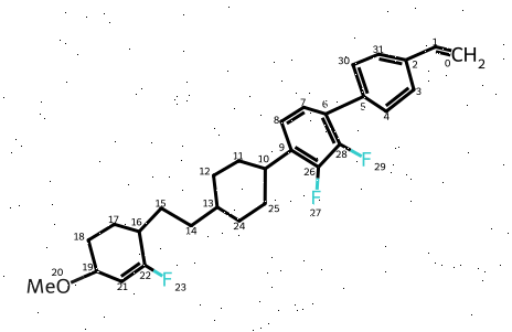 C=Cc1ccc(-c2ccc(C3CCC(CCC4CCC(OC)C=C4F)CC3)c(F)c2F)cc1